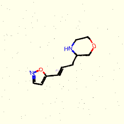 C(=C\c1ccno1)/CC1COCCN1